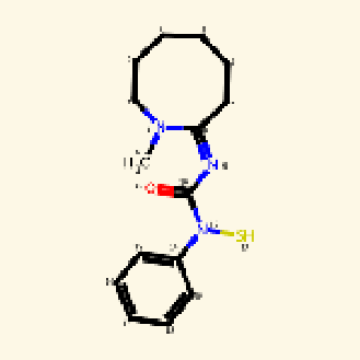 CN1CCCCCCC1=NC(=O)N(S)c1ccccc1